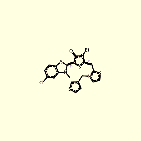 CCn1c(=O)/c(=C2\Sc3ccc(Cl)cc3N2C)s/c1=C\c1scc[n+]1Cc1ccsc1